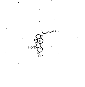 CC(C)CCCC(C)[C@H]1CC[C@H]2[C@@H]3C[C@H](O)C4C[C@@H](O)CC[C@]4(C)[C@H]3CC[C@]12C